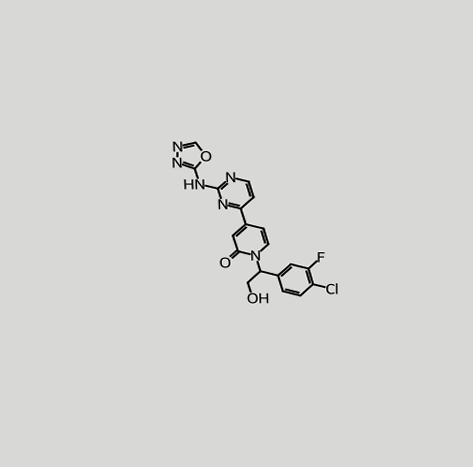 O=c1cc(-c2ccnc(Nc3nnco3)n2)ccn1C(CO)c1ccc(Cl)c(F)c1